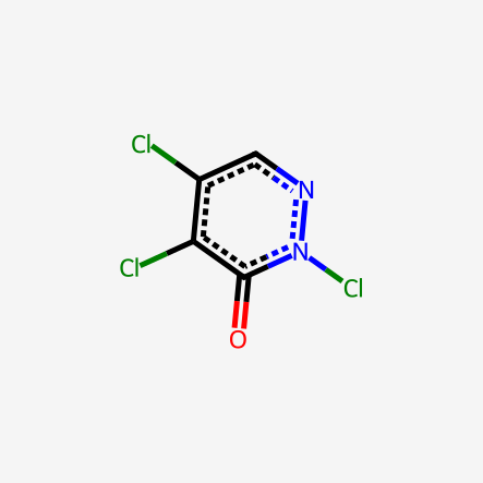 O=c1c(Cl)c(Cl)cnn1Cl